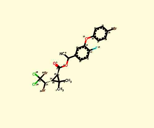 CC1(C)[C@H](C(=O)OC(C#N)c2ccc(F)c(Oc3ccc(Br)cc3)c2)[C@H]1C(Br)C(Cl)(Cl)Br